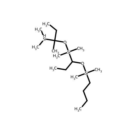 CCCC[Si](C)(C)OC(CC)[Si](C)(C)OC(C)(CC)[SiH](C)C